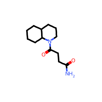 NC(=O)CCC(=O)N1CCCC2CCCCC21